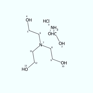 Cl.N.O=CO.OCCN(CCO)CCO